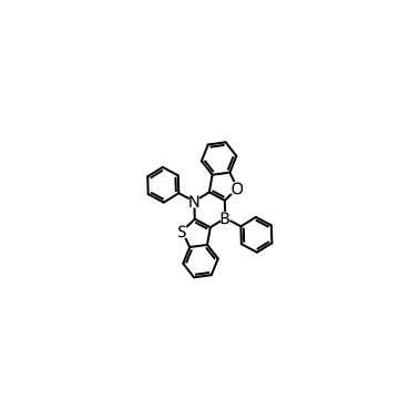 c1ccc(B2c3oc4ccccc4c3N(c3ccccc3)c3sc4ccccc4c32)cc1